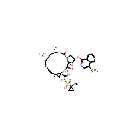 CC[C@H]1CC(=O)N2C[C@H](Oc3ncc(OC)c4ccccc34)C[C@H]2C(=O)N[C@]2(C(=O)NS(=O)(=O)C3(C)CC3)C[C@H]2/C=C\CC[C@H](C)C1